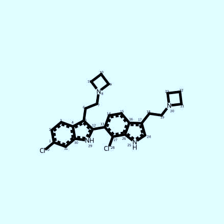 Clc1ccc2c(CCN3CCC3)c(-c3ccc4c(CCN5CCC5)c[nH]c4c3Cl)[nH]c2c1